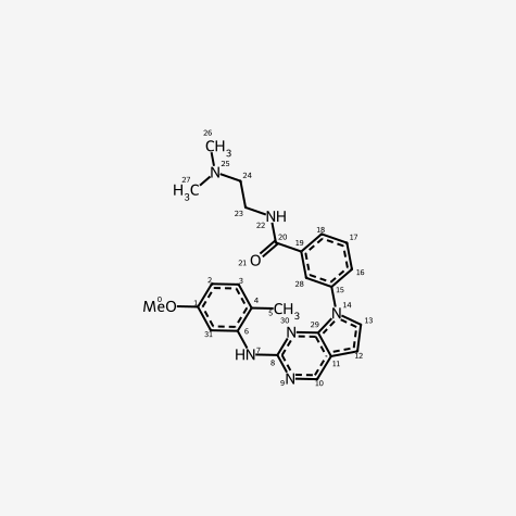 COc1ccc(C)c(Nc2ncc3ccn(-c4cccc(C(=O)NCCN(C)C)c4)c3n2)c1